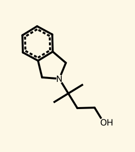 CC(C)(CCO)N1Cc2ccccc2C1